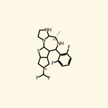 C[C@@H]1NC(c2c(F)cccc2F)C2C3C[C@@H](C(F)F)CC3SC2N2CCNC12